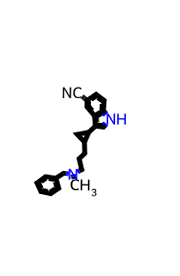 CN(CCCC1CC1c1c[nH]c2ccc(C#N)cc12)Cc1ccccc1